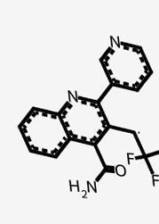 NC(=O)c1c([CH]C(F)(F)F)c(-c2cccnc2)nc2ccccc12